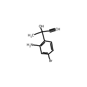 C#CC(C)(O)c1ccc(Br)cc1N